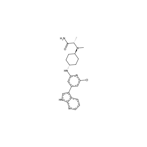 C[C@@H](C(N)=O)N(C)[C@H]1CC[C@H](Nc2cc(-c3c[nH]c4ncccc34)cc(Cl)n2)CC1